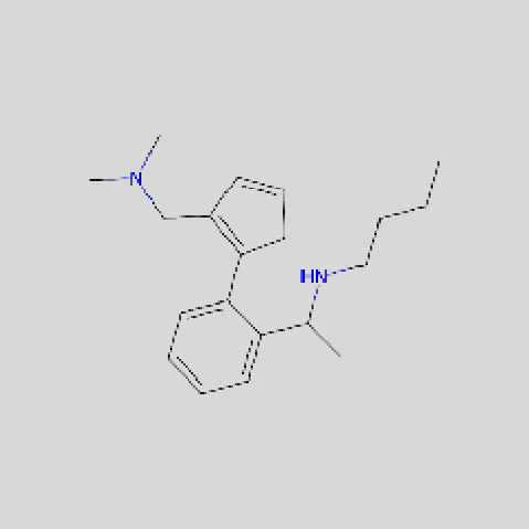 CCCCNC(C)c1ccccc1C1=C(CN(C)C)C=CC1